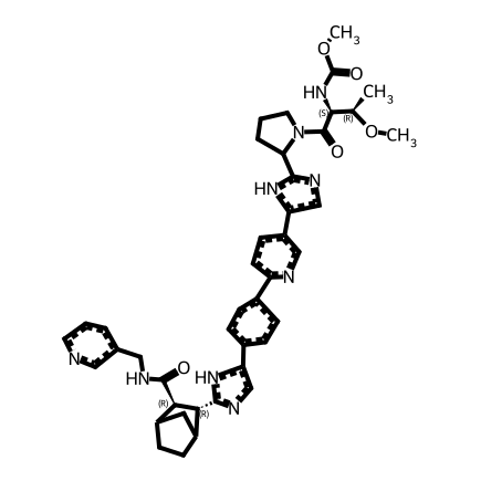 COC(=O)N[C@H](C(=O)N1CCCC1c1ncc(-c2ccc(-c3ccc(-c4cnc([C@@H]5C6CCC(C6)[C@H]5C(=O)NCc5cccnc5)[nH]4)cc3)nc2)[nH]1)[C@@H](C)OC